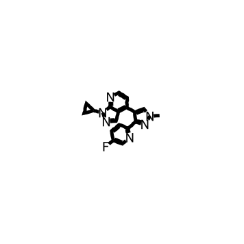 Cn1cc(-c2ccnc3c2cnn3C2CC2)c(-c2ccc(F)cn2)n1